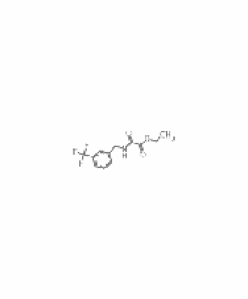 CCOC(=O)C(=O)NCc1cccc(C(F)(F)F)c1